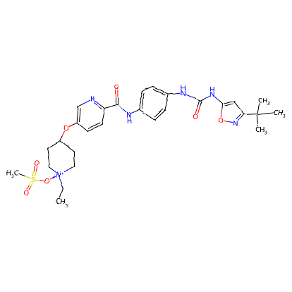 CC[N+]1(OS(C)(=O)=O)CCC(Oc2ccc(C(=O)Nc3ccc(NC(=O)Nc4cc(C(C)(C)C)no4)cc3)nc2)CC1